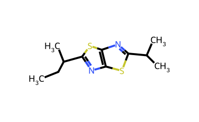 CCC(C)c1nc2sc(C(C)C)nc2s1